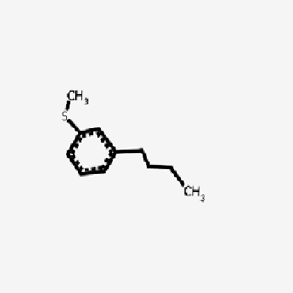 CCCCc1cccc(SC)c1